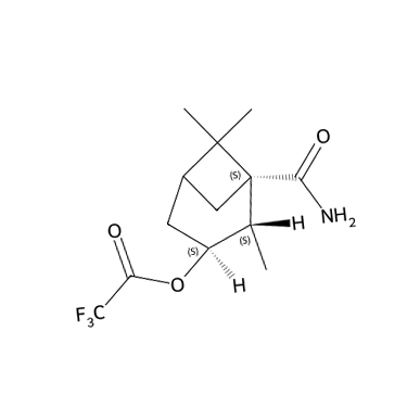 C[C@@H]1[C@@H](OC(=O)C(F)(F)F)CC2C[C@@]1(C(N)=O)C2(C)C